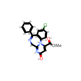 COC(=O)c1cc(=O)nc2n1-c1ccc(Cl)cc1C(c1ccccc1)=NC2